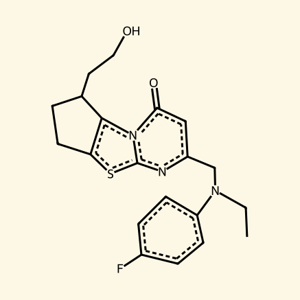 CCN(Cc1cc(=O)n2c3c(sc2n1)CCC3CCO)c1ccc(F)cc1